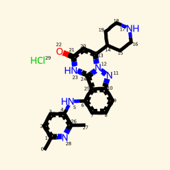 Cc1ccc(Nc2cccc3nn4c(C5CCNCC5)cc(=O)[nH]c4c23)c(C)n1.Cl